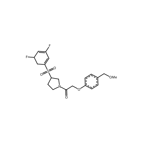 COCc1ccc(OCC(=O)N2CCC(S(=O)(=O)C3=CC(F)=CC(F)C3)C2)cc1